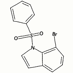 O=S(=O)(c1ccccc1)n1ccc2cccc(Br)c21